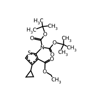 CCOC(=O)c1c(C2CC2)csc1N(C(=O)OC(C)(C)C)C(=O)OC(C)(C)C